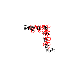 [Mg+2].[O]=[Nb](=[O])[O-].[O]=[Nb](=[O])[O-].[O]=[Ti]([O-])[O-].[O]=[Ti]([O-])[O-].[O]=[Zr]([O-])[O-].[O]=[Zr]([O-])[O-].[Pb+2].[Pb+2].[Pb+2]